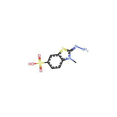 Cn1c(=NN)sc2cc(S(=O)(=O)O)ccc21